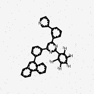 [2H]c1c([2H])c([2H])c(-c2nc(-c3cccc(-c4cccnc4)c3)cc(-c3cccc(-c4cc5ccccc5c5ccccc45)c3)n2)c([2H])c1[2H]